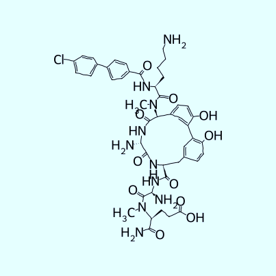 CN(C(=O)[C@H](CCCCN)NC(=O)c1ccc(-c2ccc(Cl)cc2)cc1)[C@@H]1C(=O)N[C@@H](N)C(=O)N[C@H](C(=O)N[C@@H](N)C(=O)N(C)[C@@H](CCC(=O)O)C(N)=O)Cc2ccc(O)c(c2)-c2cc1ccc2O